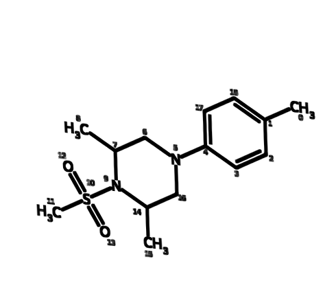 Cc1ccc(N2CC(C)N(S(C)(=O)=O)C(C)C2)cc1